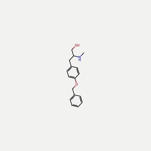 CNC(CO)Cc1ccc(OCc2ccccc2)cc1